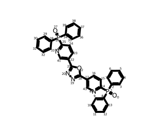 O=P(c1ccccc1)(c1ccccc1)c1ccc(-c2nnc(-c3ccc(P(=O)(c4ccccc4)c4ccccc4)nc3)o2)cn1